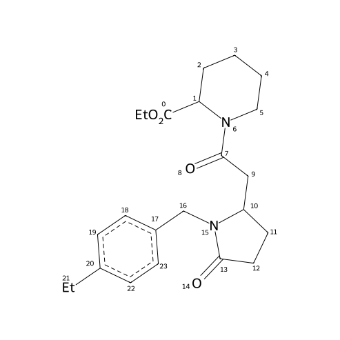 CCOC(=O)C1CCCCN1C(=O)CC1CCC(=O)N1Cc1ccc(CC)cc1